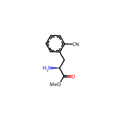 COC(=O)[C@@H](N)Cc1ccccc1C#N